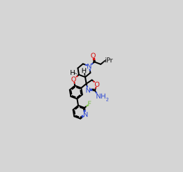 CC(C)CC(=O)N1CC[C@@H]2Oc3ccc(-c4cccnc4F)cc3C3(COC(N)=N3)[C@H]2C1